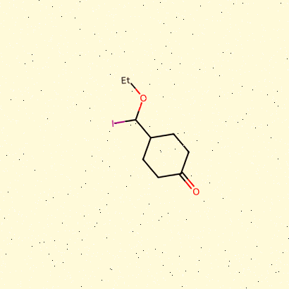 CCOC(I)C1CCC(=O)CC1